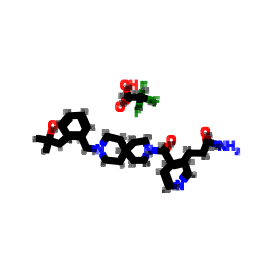 CC1(C)Cc2c(CN3CCC4(CC3)CCN(C(=O)c3ccncc3CCC(N)=O)CC4)cccc2O1.O=C(O)C(F)(F)F